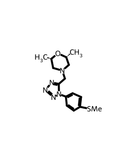 CSc1ccc(-n2nnnc2CN2C[C@@H](C)O[C@@H](C)C2)cc1